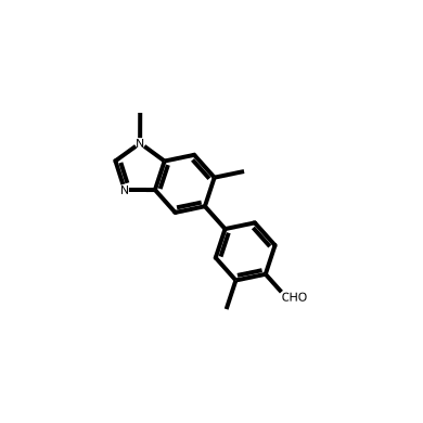 Cc1cc(-c2cc3ncn(C)c3cc2C)ccc1C=O